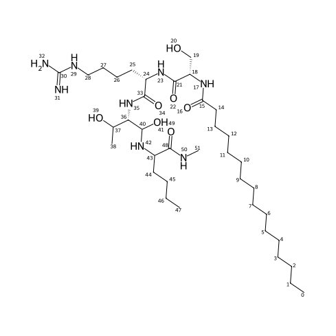 CCCCCCCCCCCCCCCC(=O)N[C@@H](CO)C(=O)N[C@@H](CCCCNC(=N)N)C(=O)N[C@@H](C(C)O)C(O)NC(CCCC)C(=O)NC